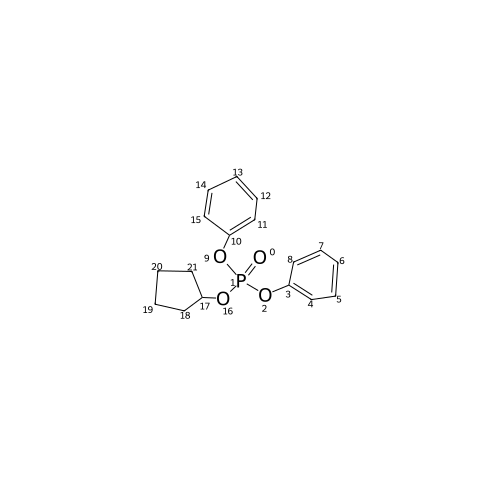 O=P(Oc1ccccc1)(Oc1ccccc1)OC1CCCC1